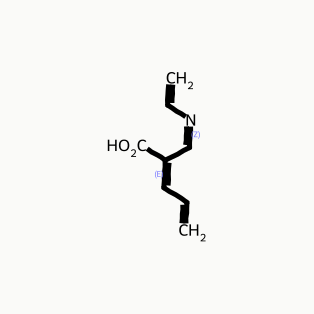 C=C/C=C(\C=N/C=C)C(=O)O